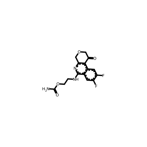 NC(=O)OCCNc1nc2c(c3cc(F)c(F)cc13)C(=O)COC2